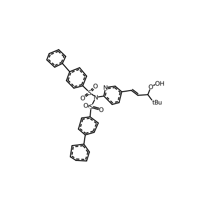 CC(C)(C)C(/C=C/c1ccc(N(S(=O)(=O)c2ccc(-c3ccccc3)cc2)S(=O)(=O)c2ccc(-c3ccccc3)cc2)nc1)OO